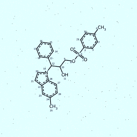 Cc1ccc(S(=O)(=O)OCC(O)C(c2ccccc2)n2ccc3cc(C)ccc32)cc1